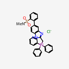 CNS(=O)(=O)c1ccccc1-c1ccc2[nH]c(C[P+](c3ccccc3)(c3ccccc3)c3ccccc3)nc2c1.[Cl-]